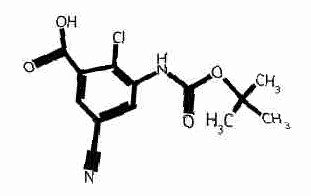 CC(C)(C)OC(=O)Nc1cc(C#N)cc(C(=O)O)c1Cl